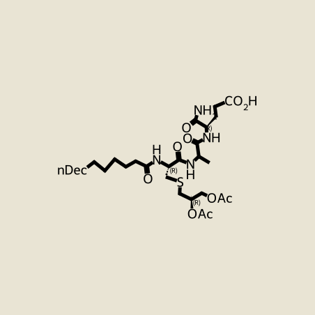 CCCCCCCCCCCCCCCC(=O)N[C@@H](CSC[C@@H](COC(C)=O)OC(C)=O)C(=O)NC(C)C(=O)N[C@H](CCC(=O)O)C(N)=O